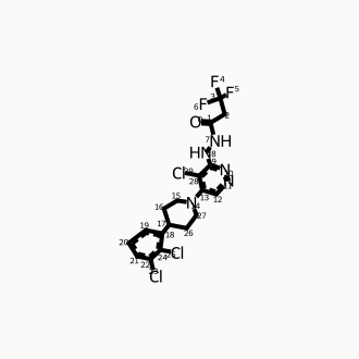 O=C(CC(F)(F)F)NNc1nncc(N2CCC(c3cccc(Cl)c3Cl)CC2)c1Cl